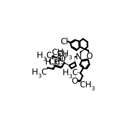 CCC/C=C/C(O[Si](C)(C)C(C)(C)C)[C@@H]1CC[C@H]1CN1C[C@@]2(CCCc3cc(Cl)ccc32)COc2ccc([C@@H](C)CC(C)=O)cc21